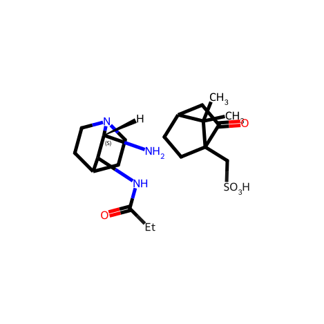 CC1(C)C2CCC1(CS(=O)(=O)O)C(=O)C2.CCC(=O)NC1C2CCN(CC2)[C@@H]1N